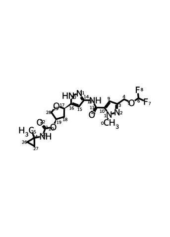 Cn1nc(COC(F)F)cc1C(=O)Nc1cc([C@H]2C[C@@H](OC(=O)NC3(C)CC3)CO2)[nH]n1